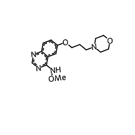 CONc1ncnc2ccc(OCCCN3CCOCC3)cc12